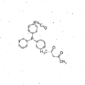 CC(=O)CC(C)=O.O=[C]=[Rh].c1ccc(P(c2ccccc2)c2ccccc2)cc1